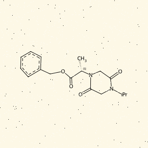 CC(C)N1CC(=O)N([C@@H](C)C(=O)OCc2ccccc2)CC1=O